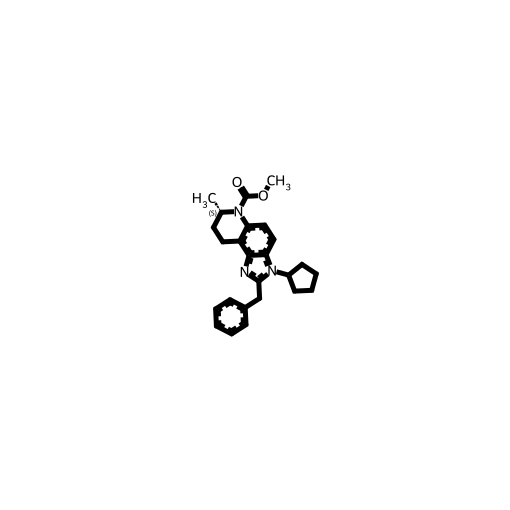 COC(=O)N1c2ccc3c(nc(Cc4ccccc4)n3C3CCCC3)c2CC[C@@H]1C